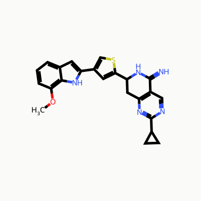 COc1cccc2cc(-c3csc(C4Cc5nc(C6CC6)ncc5C(=N)N4)c3)[nH]c12